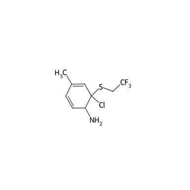 CC1=CC(Cl)(SCC(F)(F)F)C(N)C=C1